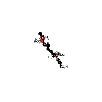 COC(=O)c1c(C)c2c(nc(N)n3nc(-c4ccc(-c5coc(-c6ccc(F)c(N7CCCN(CCn8c(C(=O)O)c(C)c9c8nc(N)n8nc(-c%10ccccn%10)nc98)CC7)c6)n5)cn4)nc23)n1CCN1CCN(c2ccc(OCC(=O)O)cc2)CC1